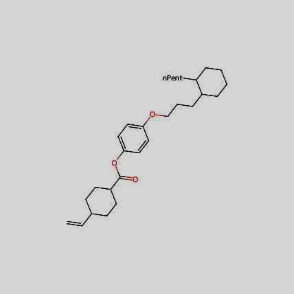 C=CC1CCC(C(=O)Oc2ccc(OCCCC3CCCCC3CCCCC)cc2)CC1